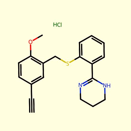 C#Cc1ccc(OC)c(CSc2ccccc2C2=NCCCN2)c1.Cl